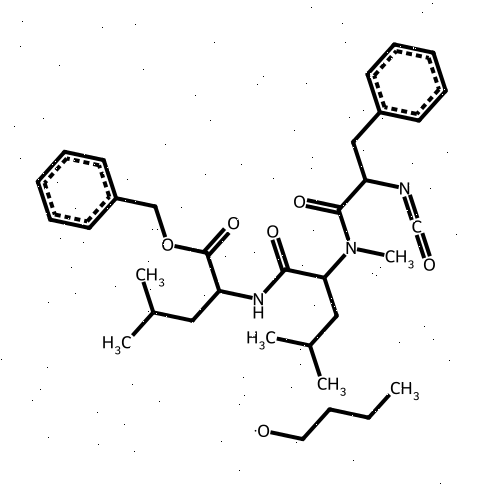 CC(C)CC(NC(=O)C(CC(C)C)N(C)C(=O)C(Cc1ccccc1)N=C=O)C(=O)OCc1ccccc1.CCCC[O]